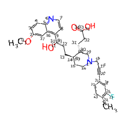 COc1ccc2nccc([C@H](O)CC[C@@H]3CCN(CC#Cc4ccc(C)c(F)c4)C[C@H]3CCC(=O)O)c2c1